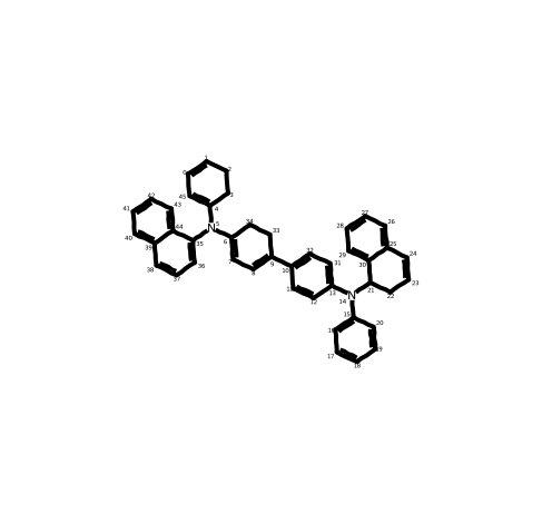 C1=CCCC(N(C2=CC=C(c3ccc(N(c4ccccc4)C4CC=Cc5ccccc54)cc3)CC2)c2cccc3ccccc23)=C1